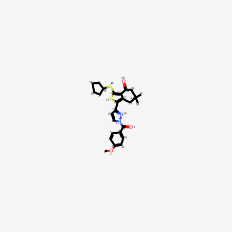 COc1ccc(C(=O)n2ccc(-c3sc(SC4CCCC4)c4c3CC(C)(C)CC4=O)n2)cc1